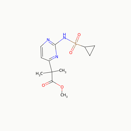 COC(=O)C(C)(C)c1ccnc(NS(=O)(=O)C2CC2)n1